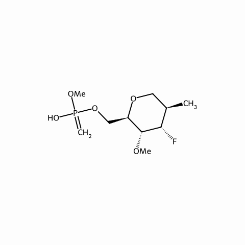 C=P(O)(OC)OC[C@H]1OC[C@@H](C)[C@H](F)[C@@H]1OC